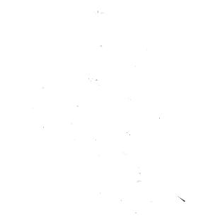 COc1ccc(CNc2csc([C@]34CO[C@@H](C)C[C@H]3CCOC(NC(=O)c3ccccc3)=N4)n2)c(OC)c1